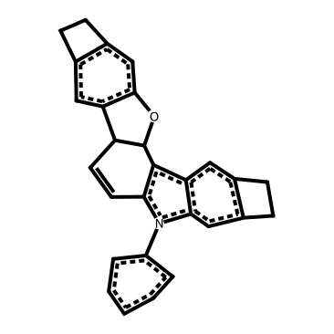 C1=CC2c3cc4c(cc3OC2c2c1n(-c1ccccc1)c1cc3c(cc21)CC3)CC4